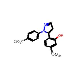 CCOC(=O)c1ccc(-n2nccc2-c2ccc(OC)cc2O)cc1